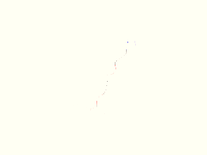 CCO[C@H](CC)OCCOCCN